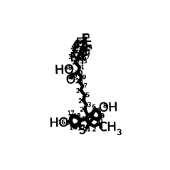 CCCC1(c2ccc(O)cc2)CSc2cc(O)ccc2C1CCCCCCCCCC(CCC(F)(F)C(F)(F)C(F)(F)C(F)(F)F)C(=O)O